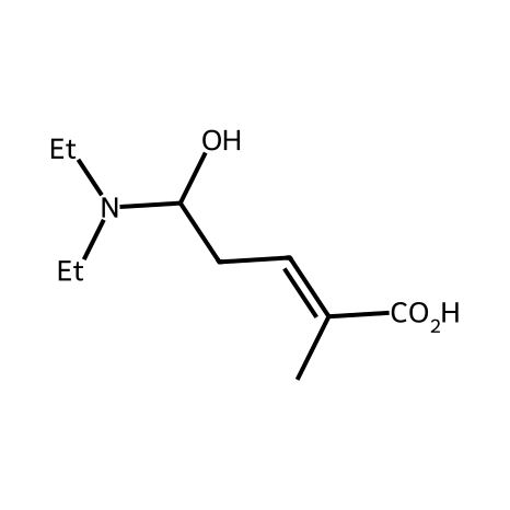 CCN(CC)C(O)CC=C(C)C(=O)O